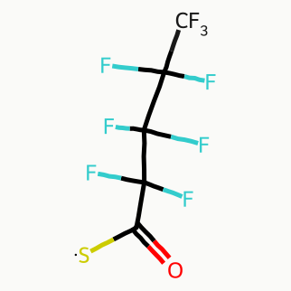 O=C([S])C(F)(F)C(F)(F)C(F)(F)C(F)(F)F